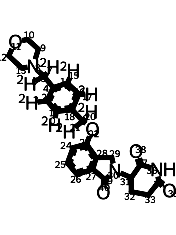 [2H]c1c([2H])c(C([2H])([2H])N2CCOCC2)c([2H])c([2H])c1C([2H])([2H])Oc1cccc2c1CN(C1CCC(=O)NC1=O)C2=O